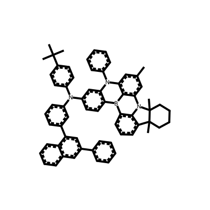 Cc1cc2c3c(c1)N1c4c(cccc4C4(C)CCCCC14C)B3c1ccc(N(c3ccc(C(C)(C)C)cc3)c3cccc(-c4cc(-c5ccccc5)cc5ccccc45)c3)cc1N2c1ccccc1